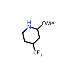 COC1C[C](C(F)(F)F)CCN1